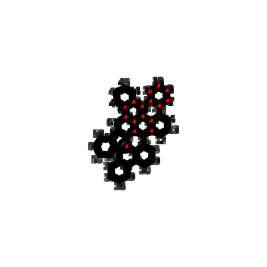 c1ccc(-c2ccccc2-c2ccccc2-c2ccccc2N(c2ccc(-c3cccc4c3ccc3ccccc34)cc2)c2ccccc2-c2ccc3oc4ccccc4c3c2)cc1